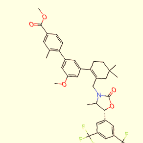 COC(=O)c1ccc(-c2cc(OC)cc(C3=C(CN4C(=O)O[C@H](c5cc(C(F)(F)F)cc(C(F)(F)F)c5)C4C)CC(C)(C)CC3)c2)c(C)c1